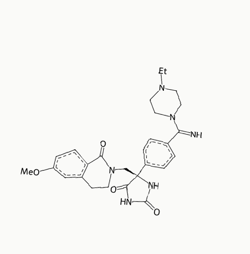 CCN1CCN(C(=N)c2ccc([C@]3(CN4CCc5cc(OC)ccc5C4=O)NC(=O)NC3=O)cc2)CC1